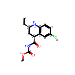 CC[C@@H]1C[C@H](C(=O)NC(=O)OC)c2cc(Cl)ccc2N1